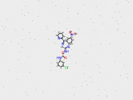 O=C(Nc1cccc(Cl)c1)ONC1=Nc2ccc([N+](=O)[O-])cc2C(c2ccccn2)=NC1